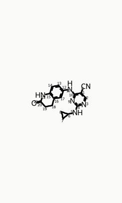 N#Cc1cnc(NC2CC2)nc1Nc1ccc2c(c1)CCC(=O)N2